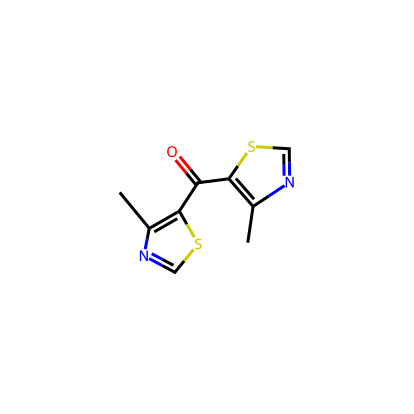 Cc1ncsc1C(=O)c1scnc1C